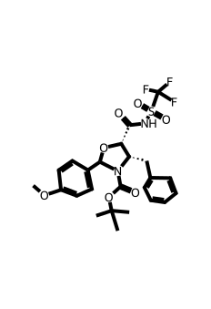 COc1ccc(C2O[C@H](C(=O)NS(=O)(=O)C(F)(F)F)[C@H](Cc3ccccc3)N2C(=O)OC(C)(C)C)cc1